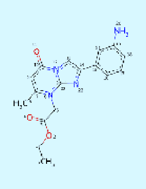 CCOC(=O)Cn1c(C)cc(=O)n2cc(-c3cccc(N)c3)nc12